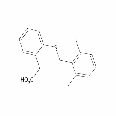 Cc1cccc(C)c1CSc1ccccc1CC(=O)O